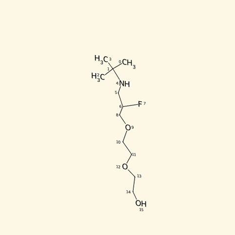 CC(C)(C)NCC(F)COCCOCCO